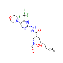 CCCCCC(CN(O)C=O)C(=O)NNc1ncc(N2CCOCC2)c(C(F)(F)F)n1